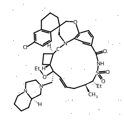 CCO[C@]1(CN2CCN3CCCC[C@@H]3C2)/C=C/C[C@H](C)[C@@H](CC)S(=O)(=O)NC(=O)c2ccc3c(c2)N(C[C@@H]2CC[C@H]21)C[C@@]1(CCCc2cc(Cl)ccc21)CO3